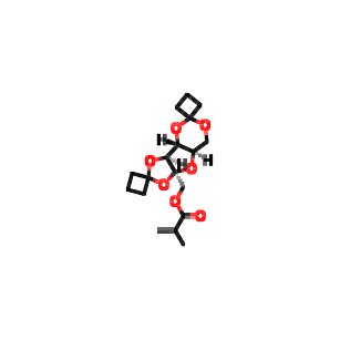 C=C(C)C(=O)OC[C@@]12O[C@@H]3COC4(CCC4)O[C@H]3[C@@H]1OC1(CCC1)O2